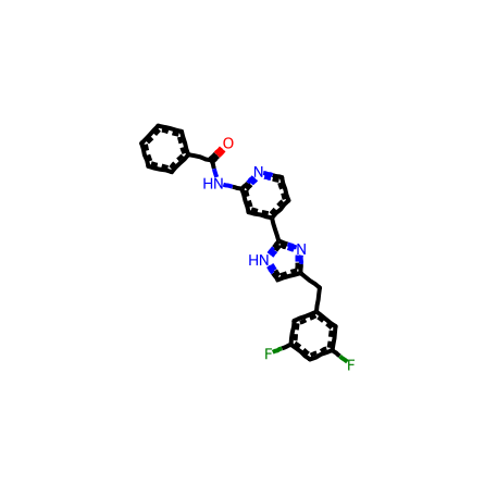 O=C(Nc1cc(-c2nc(Cc3cc(F)cc(F)c3)c[nH]2)ccn1)c1ccccc1